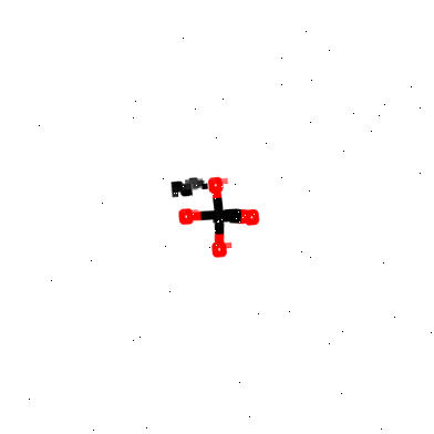 O=[As]([O-])([O-])[O-].[Pd+3]